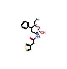 CC(=O)C[C@H]1OB(O)[C@@H](NC(=O)Cc2ccsc2)CC1c1ccccc1